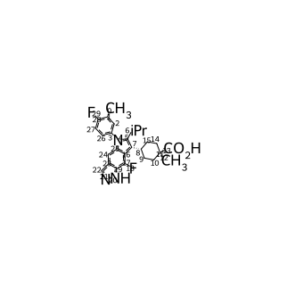 Cc1cc(-n2c(C(C)C)c([C@H]3CC[C@](C)(C(=O)O)CC3)c3c(F)c4[nH]ncc4cc32)ccc1F